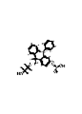 CC(C)(O)C(C)(C)O.CC1(C)c2ccccc2N(c2ccccc2)c2ccccc21.OB(O)O